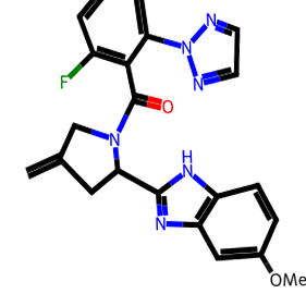 C=C1CC(c2nc3cc(OC)ccc3[nH]2)N(C(=O)c2c(F)cccc2-n2nccn2)C1